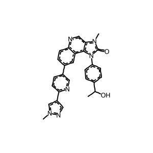 CC(O)c1ccc(-n2c(=O)n(C)c3cnc4ccc(-c5ccc(-c6cnn(C)c6)nc5)cc4c32)cc1